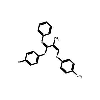 CC(=COc1ccc(C)cc1)C(=Nc1ccccc1)Oc1ccc(F)cc1